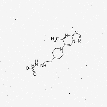 Cc1nc2ncnn2cc1N1CCC(CCNN[SH](=O)=O)CC1